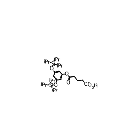 CC(C)[Si](Oc1cc(OC(=O)CCCC(=O)O)cc(O[Si](C(C)C)(C(C)C)C(C)C)c1)(C(C)C)C(C)C